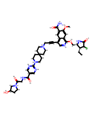 CC[C@@H]1C(F)C(=O)N[C@@H]1COc1ncc(C#CCN2CCC3(CC2)CCN(c2ncc(C(=O)NCC(=O)N4CCC(O)C4)cn2)CC3)c2cc(C(N)=O)c(OC)cc12